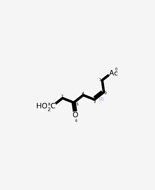 CC(=O)C/C=C\CC(=O)CC(=O)O